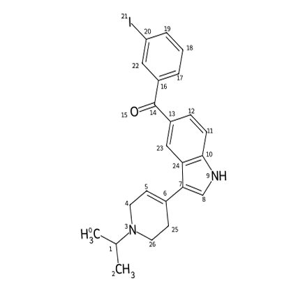 CC(C)N1CC=C(c2c[nH]c3ccc(C(=O)c4cccc(I)c4)cc23)CC1